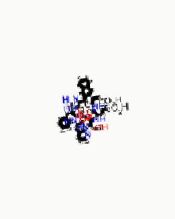 N[C@H](Cc1ccc2ccccc2c1)C(=O)N[C@H](Cc1ccccc1)C(=O)N[C@H](Cc1cccnc1)C(=O)N[C@@H](CO)C(=O)N[C@H](CCC(=O)O)C(=O)N[C@H](CCC(=O)O)C(=O)O